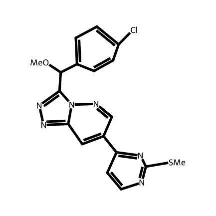 COC(c1ccc(Cl)cc1)c1nnc2cc(-c3ccnc(SC)n3)cnn12